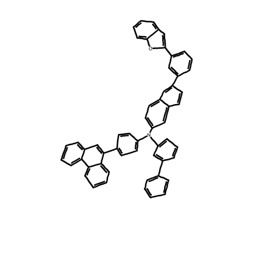 c1ccc(-c2cccc(N(c3ccc(-c4cc5ccccc5c5ccccc45)cc3)c3ccc4cc(-c5cccc(-c6cc7ccccc7o6)c5)ccc4c3)c2)cc1